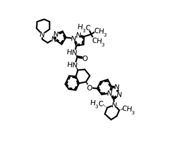 C[C@@H]1CCC[C@H](C)N1c1nnc2ccc(O[C@@H]3CC[C@H](NC(=O)Nc4cc(C(C)(C)C)nn4-c4cnn(CCN5CCCCC5)c4)c4ccccc43)cn12